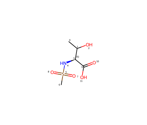 CC(O)[C@H](NS(C)(=O)=O)C(=O)O